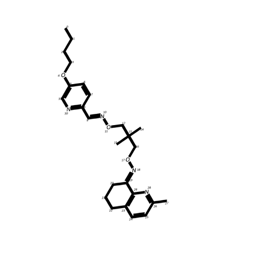 CCCCOc1ccc(/C=N/OCC(C)(C)CO/N=C2\CCCc3ccc(C)nc32)nc1